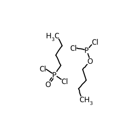 CCCCOP(Cl)Cl.CCCCP(=O)(Cl)Cl